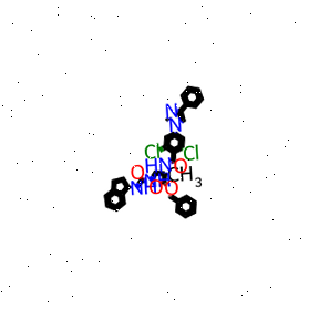 C[C@](CNC(=O)N[C@@H]1CCc2ccccc21)(NC(=O)c1c(Cl)cc(-n2cnc(-c3ccccc3)c2)cc1Cl)C(=O)OCc1ccccc1